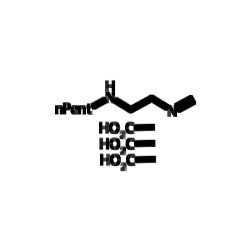 C=NCCNCCCCC.CC(=O)O.CC(=O)O.CC(=O)O